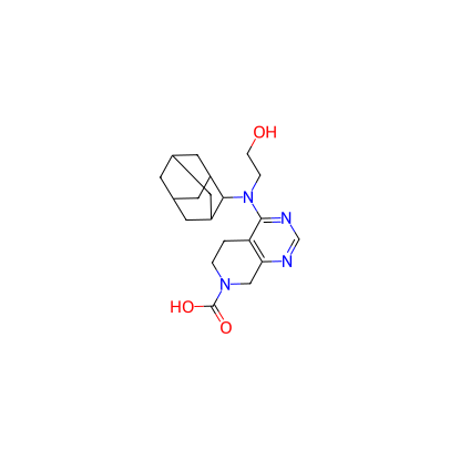 O=C(O)N1CCc2c(ncnc2N(CCO)C2C3CC4CC(C3)CC2C4)C1